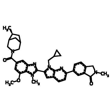 COc1cc(C(=O)N2CC3CC(C2)[C@@H](C)C3)cc2nc(-c3cc4ccc(-c5ccc6c(c5)C(=O)N(C)C6)nc4n3CC3CC3)n(C)c12